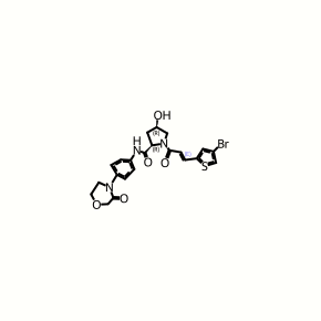 O=C(Nc1ccc(N2CCOCC2=O)cc1)[C@H]1C[C@@H](O)CN1C(=O)/C=C/c1cc(Br)cs1